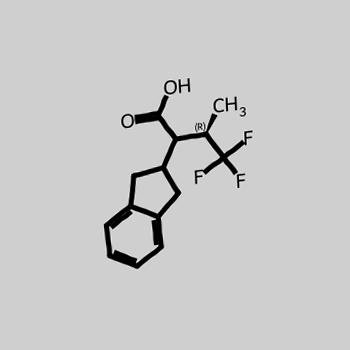 C[C@H](C(C(=O)O)C1Cc2ccccc2C1)C(F)(F)F